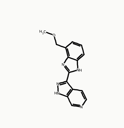 COCc1cccc2[nH]c(-c3n[nH]c4cnccc34)nc12